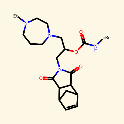 CCCCNC(=O)OC(CN1CCCN(CC)CC1)CN1C(=O)C2C3C=CC(C3)C2C1=O